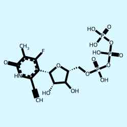 C#Cc1[nH]c(=O)c(C)c(F)c1[C@@H]1O[C@H](COP(=O)(O)OP(=O)(O)OP(=O)(O)O)C(O)[C@@H]1O